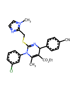 CCOC(=O)C1=C(C)N(c2cccc(Cl)c2)C(SCc2nccn2C)=NC1c1ccc(C#N)cc1